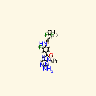 CC(C)n1c(=O)c(-c2ccc(NSCCC(C)(F)F)c(F)c2)nc2cnc(N)nc21